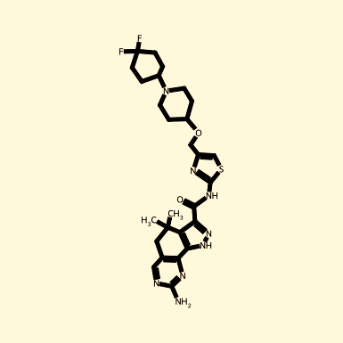 CC1(C)Cc2cnc(N)nc2-c2[nH]nc(C(=O)Nc3nc(COC4CCN(C5CCC(F)(F)CC5)CC4)cs3)c21